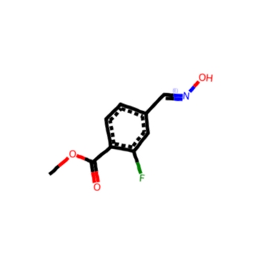 COC(=O)c1ccc(/C=N/O)cc1F